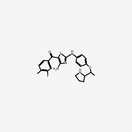 Cc1ccc(C(=O)c2sc(Nc3ccc(OC(C)C4CCCN4)cc3)nc2N)cc1F